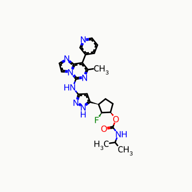 Cc1nc(Nc2cc([C@H]3CC[C@@H](OC(=O)NC(C)C)[C@H]3F)[nH]n2)n2ccnc2c1-c1cccnc1